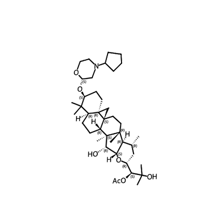 CC(=O)O[C@@H]([C@H]1C[C@@H](C)[C@H]2[C@H](O1)[C@H](O)[C@@]1(C)[C@@H]3CC[C@H]4C(C)(C)[C@@H](O[C@H]5CN(C6CCCC6)CCO5)CC[C@@]45C[C@@]35CC[C@]21C)C(C)(C)O